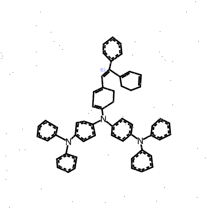 C1=CCCC(/C(=C\C2=CC=C(N(c3ccc(N(c4ccccc4)c4ccccc4)cc3)c3ccc(N(c4ccccc4)c4ccccc4)cc3)CC2)c2ccccc2)=C1